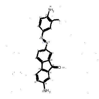 Cc1cc(/N=N/c2ccc3c(c2)C(=O)c2cc(N)ccc2-3)ccc1N